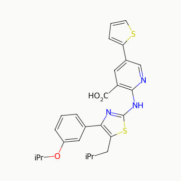 CC(C)Cc1sc(Nc2ncc(-c3cccs3)cc2C(=O)O)nc1-c1cccc(OC(C)C)c1